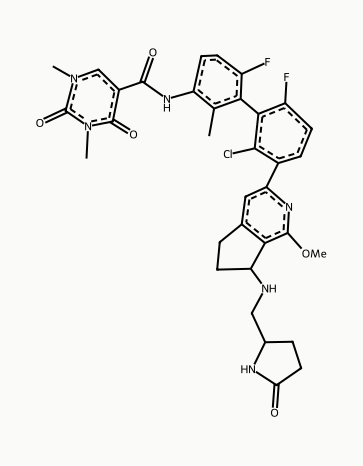 COc1nc(-c2ccc(F)c(-c3c(F)ccc(NC(=O)c4cn(C)c(=O)n(C)c4=O)c3C)c2Cl)cc2c1C(NCC1CCC(=O)N1)CC2